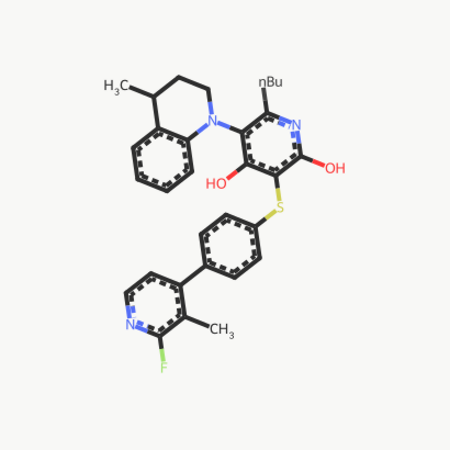 CCCCc1nc(O)c(Sc2ccc(-c3ccnc(F)c3C)cc2)c(O)c1N1CCC(C)c2ccccc21